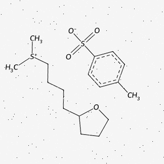 C[S+](C)CCCCC1CCCO1.Cc1ccc(S(=O)(=O)[O-])cc1